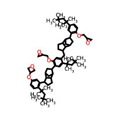 CC(C)(C)CC(C)(C)c1ccc(OCC2CO2)c(C2CC3CC2C2CCC(Cc4cc(OCC5CO5)c(C5CC6CC5C5CCC(c7cc(OC8COC8)ccc7C(C)(C)CC(C)(C)C)C65)cc4C(C)(C)CC(C)(C)C)C32)c1